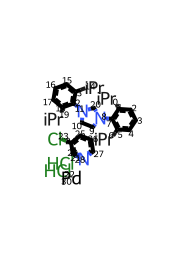 CC(C)c1cccc(C(C)C)c1N1CCN(c2c(C(C)C)cccc2C(C)C)C1.Cl.Cl.Clc1cccnc1.[Pd]